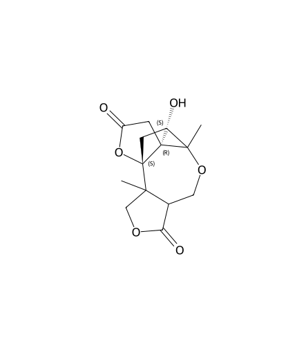 CC12OCC3C(=O)OCC3(C)[C@]3(C[C@@H]1O)OC(=O)C[C@@]23C